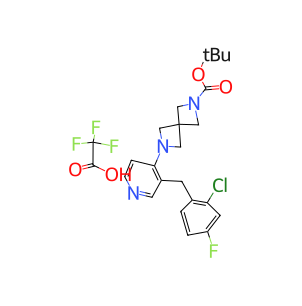 CC(C)(C)OC(=O)N1CC2(C1)CN(c1ccncc1Cc1ccc(F)cc1Cl)C2.O=C(O)C(F)(F)F